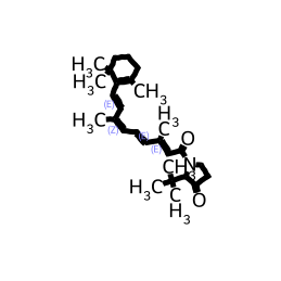 CC1=C(/C=C/C(C)=C\C=C\C(C)=C\C(=O)N2CCC(=O)C2C(C)(C)C)C(C)(C)CCC1